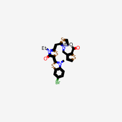 CCn1c(=O)/c(=C2\Sc3cc(Br)ccc3N2C)s/c1=C\c1scc[n+]1Cc1ccsc1C(=O)OC